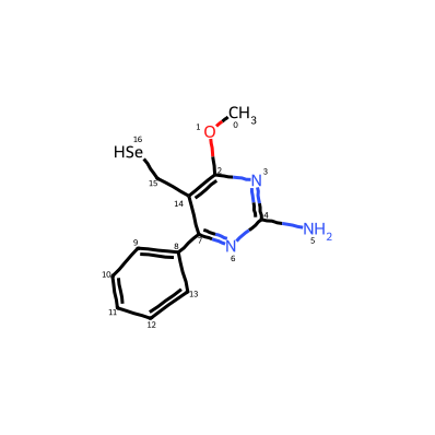 COc1nc(N)nc(-c2ccccc2)c1C[SeH]